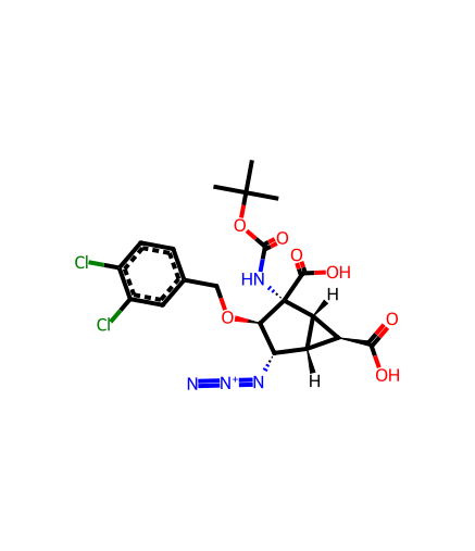 CC(C)(C)OC(=O)N[C@]1(C(=O)O)[C@@H]2[C@@H](C(=O)O)[C@@H]2[C@H](N=[N+]=[N-])[C@H]1OCc1ccc(Cl)c(Cl)c1